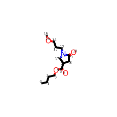 CCCCOC(=O)C1CC(=O)N(CCCOC)C1